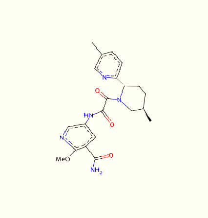 COc1ncc(NC(=O)C(=O)N2C[C@H](C)CC[C@H]2c2ccc(C)cn2)cc1C(N)=O